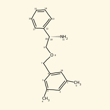 Cc1cc(C)cc(COC[C@@H](N)c2ccccc2)c1